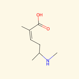 CNC(C)CC=C(C)C(=O)O